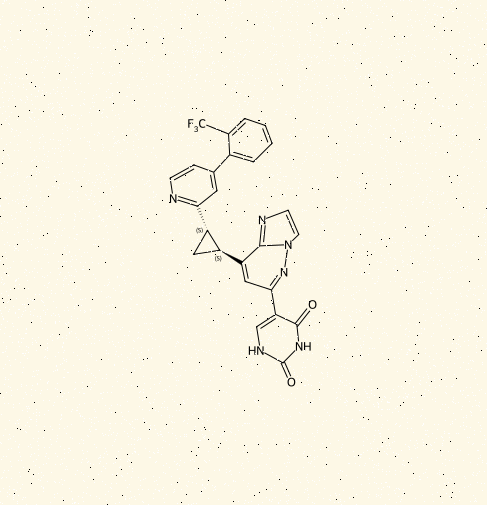 O=c1[nH]cc(-c2cc([C@H]3C[C@@H]3c3cc(-c4ccccc4C(F)(F)F)ccn3)c3nccn3n2)c(=O)[nH]1